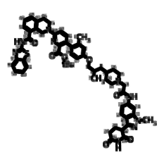 Cc1cc(OCC(C)CC2CCN(CC(=O)Nc3ccc4c(C5CCC(=O)NC5=O)nn(C)c4c3)CC2)ccc1-c1ccc(N2CCc3cccc(C(=O)Nc4nc5ccccc5s4)c3C2)nc1C(=O)OC(C)(C)C